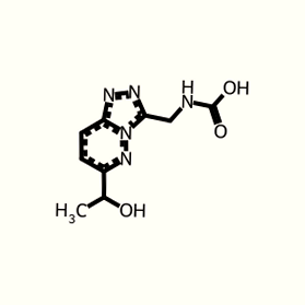 CC(O)c1ccc2nnc(CNC(=O)O)n2n1